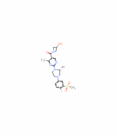 CC(C)[C@@H]1CN(c2ccc(F)c(S(C)(=O)=O)c2)CCN1c1ncc(C(=O)N2CC(O)C2)c(C(F)(F)F)n1